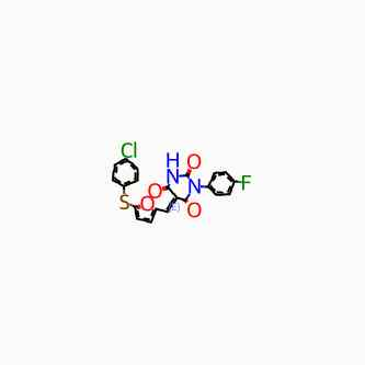 O=C1NC(=O)N(c2ccc(F)cc2)C(=O)/C1=C/c1ccc(Sc2ccc(Cl)cc2)o1